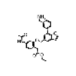 CCOC(=O)Cc1ccc(NC(C)=O)cc1OCc1cc(-c2cccc(CN)c2)c2occc2c1